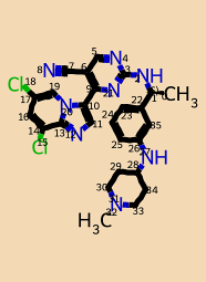 C[C@H](Nc1ncc(C#N)c(-c2cnc3c(Cl)cc(Cl)cn23)n1)c1cccc(NC2CCN(C)CC2)c1